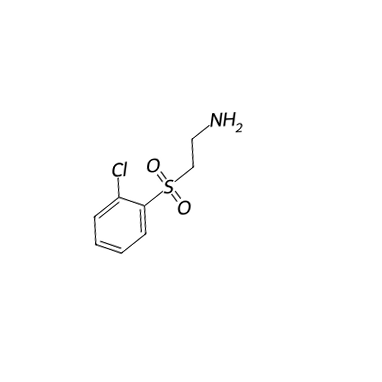 NCCS(=O)(=O)c1ccccc1Cl